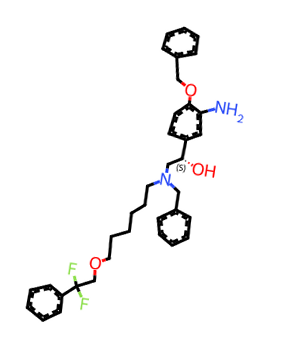 Nc1cc([C@H](O)CN(CCCCCCOCC(F)(F)c2ccccc2)Cc2ccccc2)ccc1OCc1ccccc1